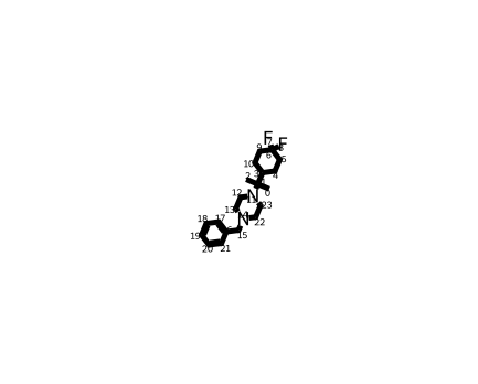 CC(C)(C1CCC(F)(F)CC1)N1CCN(Cc2ccccc2)CC1